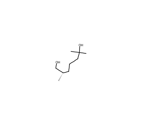 C[C@H](CO)CCCC(C)(C)O